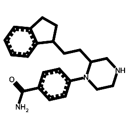 NC(=O)c1ccc(N2CCNCC2CCC2CCc3ccccc32)cc1